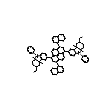 CCC1CCC2(C)N(c3ccccc3)c3ccc(-c4cc(-c5cccc6ccccc56)c5ccc6c(-c7ccc8c(c7)C7(C)CC(CC)CCC7(C)N8c7ccccc7)cc(-c7cccc8ccccc78)c7ccc4c5c67)cc3C2(C)C1